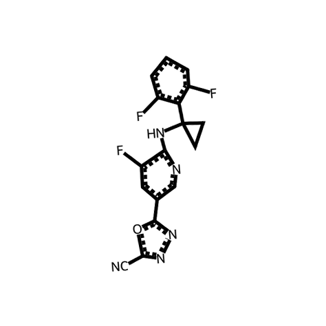 N#Cc1nnc(-c2cnc(NC3(c4c(F)cccc4F)CC3)c(F)c2)o1